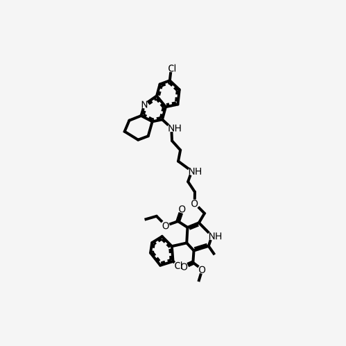 CCOC(=O)C1=C(COCCNCCCNc2c3c(nc4cc(Cl)ccc24)CCCC3)NC(C)=C(C(=O)OC)C1c1ccccc1Cl